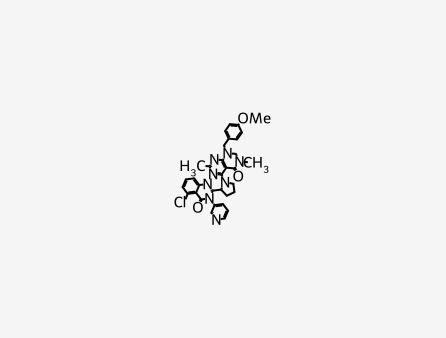 COc1ccc(CN2CN(C)C(=O)c3c2nc(C)nc3N2CCCC2c2nc3cccc(Cl)c3c(=O)n2-c2cccnc2)cc1